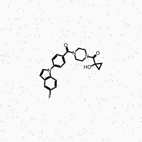 O=C(c1ccc(-n2ccc3cc(F)ccc32)cc1)N1CCN(C(=O)C2(O)CC2)CC1